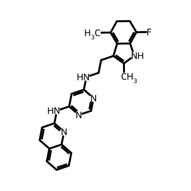 CC1=c2c(CCNc3cc(Nc4ccc5ccccc5n4)ncn3)c(C)[nH]c2=C(F)CC1